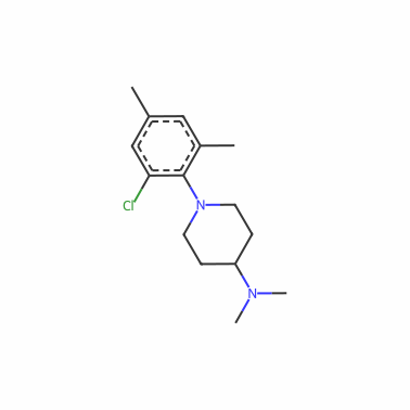 Cc1cc(C)c(N2CCC(N(C)C)CC2)c(Cl)c1